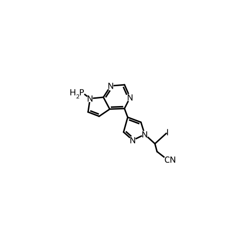 N#CCC(I)n1cc(-c2ncnc3c2ccn3P)cn1